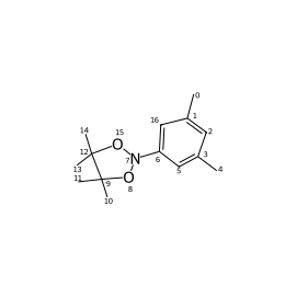 Cc1cc(C)cc(N2OC(C)(C)C(C)(C)O2)c1